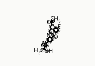 COC(=O)CCCCc1nc2cc(-c3cc(C(C)O)on3)ccc2c(=O)n1-c1ccc(F)cc1